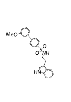 COc1cccc(-c2ccc(S(=O)(=O)NCCc3c[nH]c4ccccc34)cc2)c1